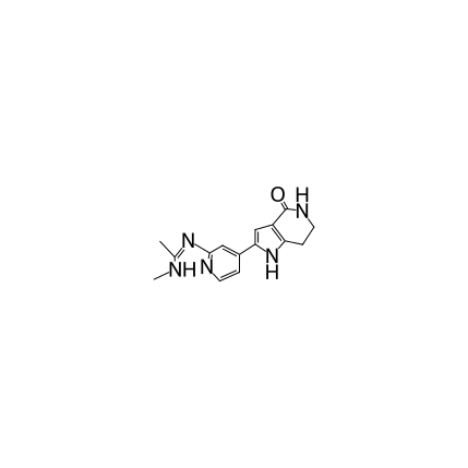 CN/C(C)=N\c1cc(-c2cc3c([nH]2)CCNC3=O)ccn1